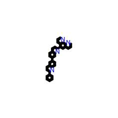 c1ccc(-c2ccc3cc(-c4ccc5ccc(-c6cc7cccnc7c7ncccc67)nc5c4)ccc3n2)cc1